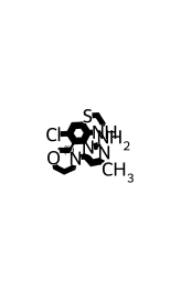 Cc1cc(N2CCCOC[C@H]2c2cc3c(cc2Cl)SCCN3)nc(N)n1